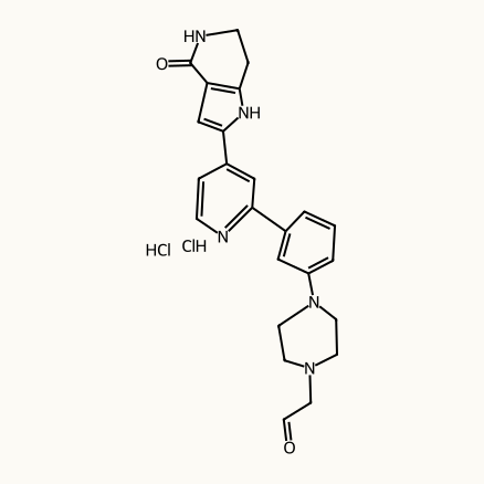 Cl.Cl.O=CCN1CCN(c2cccc(-c3cc(-c4cc5c([nH]4)CCNC5=O)ccn3)c2)CC1